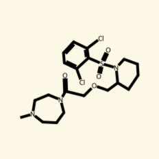 CN1CCCN(C(=O)COCC2CCCCN2S(=O)(=O)c2c(Cl)cccc2Cl)CC1